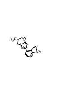 CC1COc2cc(-c3ccnc4[nH]ncc34)nn2C1